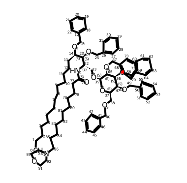 CCCCCCCCCCCCCC[C@@H](OCc1ccccc1)[C@@H](OCc1ccccc1)[C@H](CO[C@H]1O[C@H](COCc2ccccc2)[C@H](OCc2ccccc2)[C@H](OCc2ccccc2)[C@H]1OCc1ccccc1)NC(=O)CCCCCCCCCCN1CCOCC1